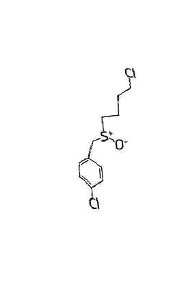 [O-][S+](CCCCCl)Cc1ccc(Cl)cc1